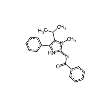 CC(C)c1c(-c2ccccc2)[nH]/c(=N\C(=O)c2ccccc2)n1C